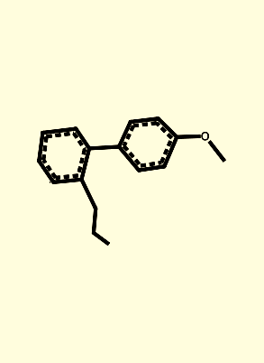 CCCc1[c]cccc1-c1ccc(OC)cc1